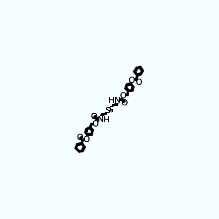 O=C(NCCSSCCNC(=O)OCc1ccc(OC(=O)c2ccccc2)cc1)OCc1ccc(OC(=O)C2=CCCC=C2)cc1